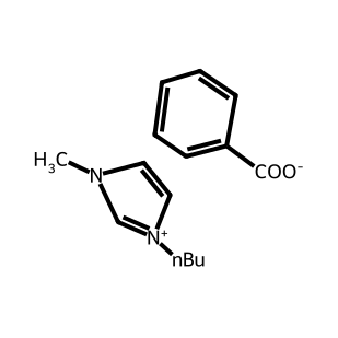 CCCC[n+]1ccn(C)c1.O=C([O-])c1ccccc1